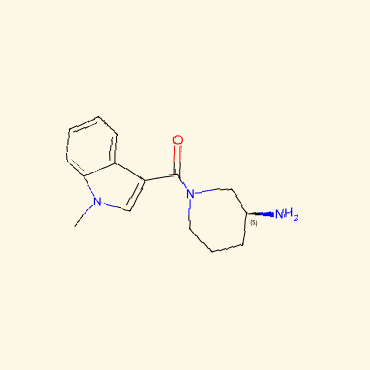 Cn1cc(C(=O)N2CCC[C@H](N)C2)c2ccccc21